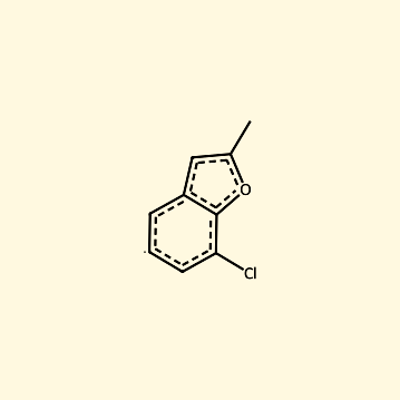 Cc1cc2c[c]cc(Cl)c2o1